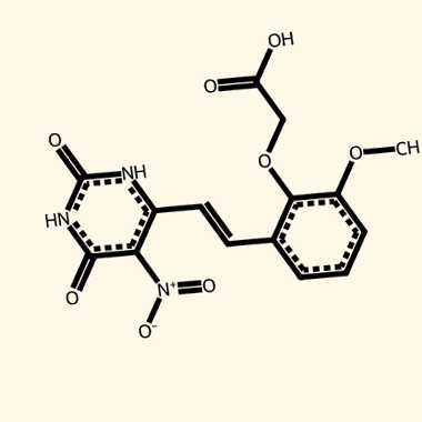 COc1cccc(/C=C/c2[nH]c(=O)[nH]c(=O)c2[N+](=O)[O-])c1OCC(=O)O